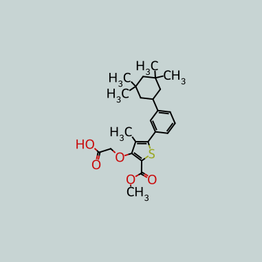 COC(=O)c1sc(-c2cccc(C3CC(C)(C)CC(C)(C)C3)c2)c(C)c1OCC(=O)O